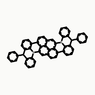 c1ccc(C2c3ccccc3B3c4c(cccc42)-c2ccc4cc5c6c(ccc7cc3c2c4c76)-c2cccc3c2B5c2ccccc2C3c2ccccc2)cc1